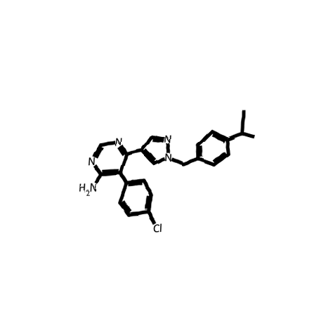 CC(C)c1ccc(Cn2cc(-c3ncnc(N)c3-c3ccc(Cl)cc3)cn2)cc1